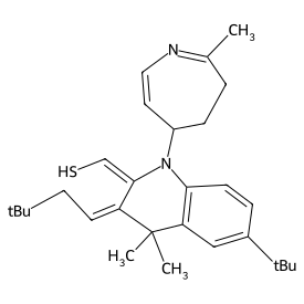 CC1=NC=CC(N2C(=C/S)/C(=C\CC(C)(C)C)C(C)(C)c3cc(C(C)(C)C)ccc32)CC1